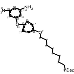 CCCCCCCCCCCCCCCCCCOc1ccc(Oc2cc(N)cc(N)c2)cc1